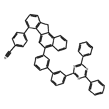 N#Cc1ccc(-c2cccc3c2-c2cc(-c4cccc(-c5cccc(-c6nc(-c7ccccc7)nc(-c7ccccc7)n6)c5)c4)c4ccccc4c2C3)cc1